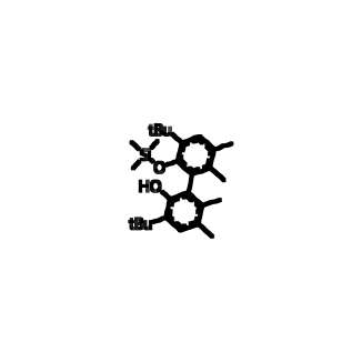 Cc1cc(C(C)(C)C)c(O)c(-c2c(C)c(C)cc(C(C)(C)C)c2O[Si](C)(C)C)c1C